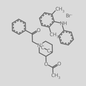 CC(=O)OC1C[N+]2(CC(=O)c3ccccc3)CCC1CC2.Cc1cccc(C)c1Nc1ccccc1.[Br-]